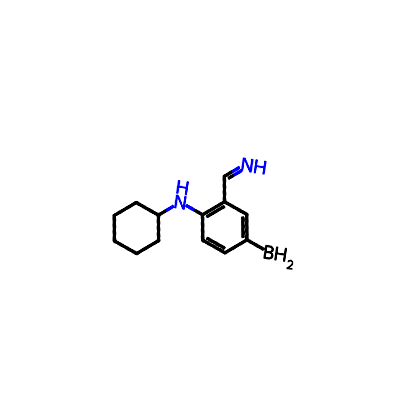 Bc1ccc(NC2CCCCC2)c(C=N)c1